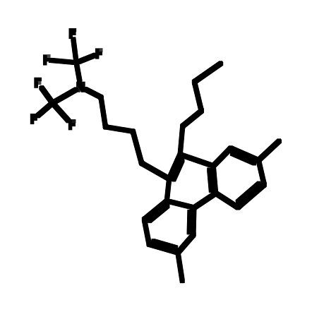 CCCCc1c(CCCCN(C(F)(F)F)C(F)(F)F)c2ccc(C)cc2c2ccc(C)cc12